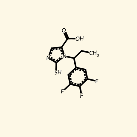 CCC(c1cc(F)c(F)c(F)c1)n1c(C(=O)O)cnc1S